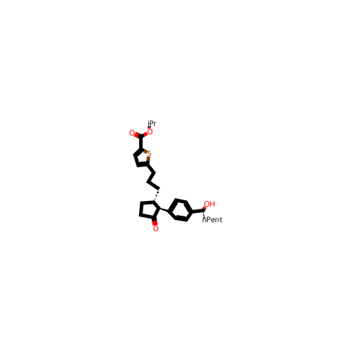 CCCCC[C@@H](O)c1ccc([C@H]2C(=O)CC[C@@H]2CCCc2ccc(C(=O)OC(C)C)s2)cc1